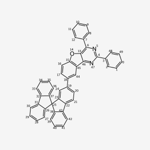 c1ccc(-c2nc(-c3ccccc3)c3oc4ccc(-c5ccc6c(c5)C5(c7ccccc7-c7ccccc75)c5ccccc5-6)cc4c3n2)cc1